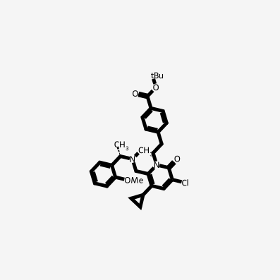 COc1ccccc1[C@H](C)N(C)Cc1c(C2CC2)cc(Cl)c(=O)n1CCc1ccc(C(=O)OC(C)(C)C)cc1